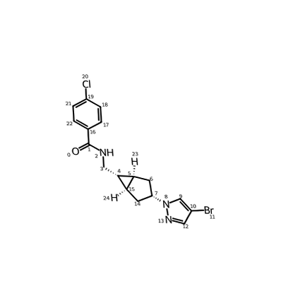 O=C(NC[C@@H]1[C@H]2C[C@H](n3cc(Br)cn3)C[C@@H]12)c1ccc(Cl)cc1